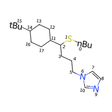 CCCCSC(CCCn1ccnc1)C1CCC(C(C)(C)C)CC1